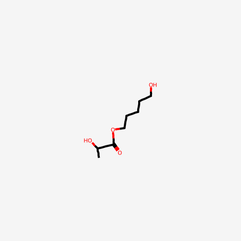 CC(O)C(=O)OCCCCCO